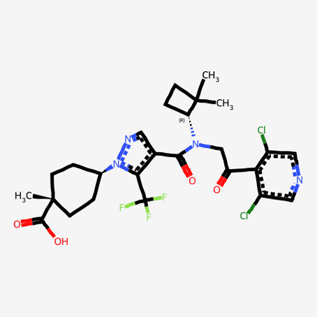 CC1(C)CC[C@H]1N(CC(=O)c1c(Cl)cncc1Cl)C(=O)c1cnn([C@H]2CC[C@](C)(C(=O)O)CC2)c1C(F)(F)F